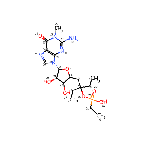 CCC(CC)(CC1O[C@@H](n2cnc3c(=O)n(C)c(N)nc32)[C@H](O)C1O)OP(=O)(O)CC